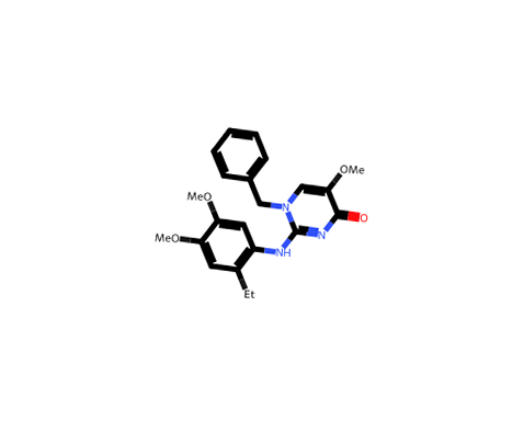 CCc1cc(OC)c(OC)cc1Nc1nc(=O)c(OC)cn1Cc1ccccc1